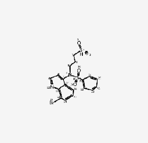 O=[SH](=O)CCCN(c1ccnc2c(Br)cccc12)S(=O)(=O)c1ccccc1